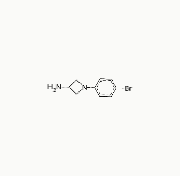 NC1CN(c2ccc(Br)cc2)C1